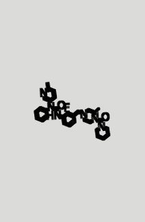 Cc1ccc(N(C(=O)Nc2cccc(CN3CCN(C(=O)N4CCCCC4)[C@H](C)C3)c2F)c2ccccc2)cn1